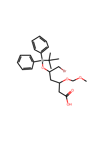 COCOC(CC(=O)O)CC(CBr)O[Si](c1ccccc1)(c1ccccc1)C(C)(C)C